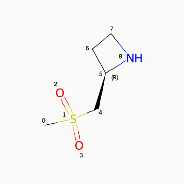 CS(=O)(=O)C[C@H]1CCN1